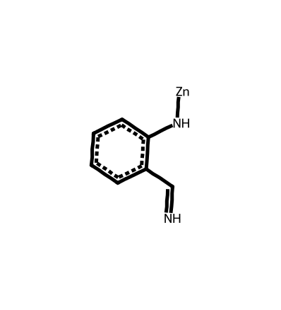 N=Cc1ccccc1[NH][Zn]